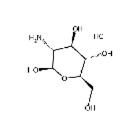 Cl.N[C@@H]1[C@@H](O)[C@H](O)[C@@H](CO)O[C@H]1O